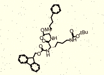 COC(=O)[C@H](CCCCc1ccccc1)NC(=O)[C@H](CCCCNC(=O)OC(C)(C)C)NC(=O)OCC1c2ccccc2-c2ccccc21